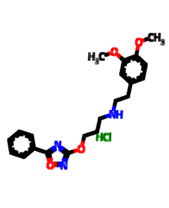 COc1ccc(CCNCCCOc2noc(-c3ccccc3)n2)cc1OC.Cl